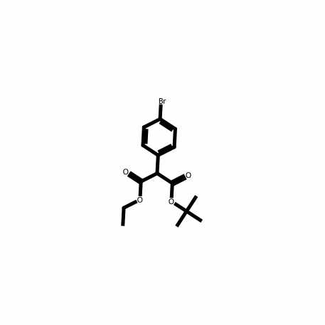 CCOC(=O)C(C(=O)OC(C)(C)C)c1ccc(Br)cc1